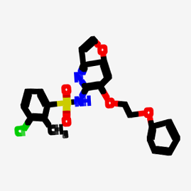 Cc1c(Cl)cccc1S(=O)(=O)Nc1nc2ccoc2cc1OCCOc1ccccc1